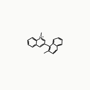 Cc1ccc2ccccc2c1-c1cc2ccccc2[n+](C)c1